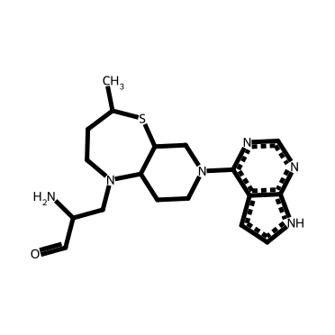 CC1CCN(CC(N)C=O)C2CCN(c3ncnc4[nH]ccc34)CC2S1